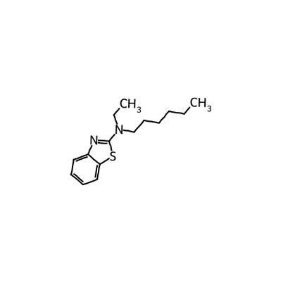 CCCCCCN(CC)c1nc2ccccc2s1